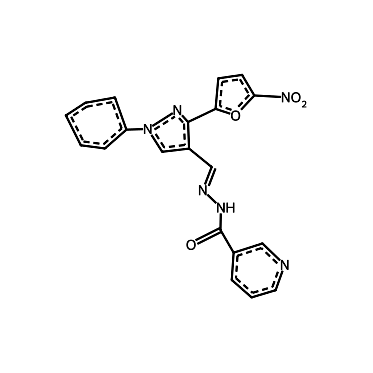 O=C(NN=Cc1cn(-c2ccccc2)nc1-c1ccc([N+](=O)[O-])o1)c1cccnc1